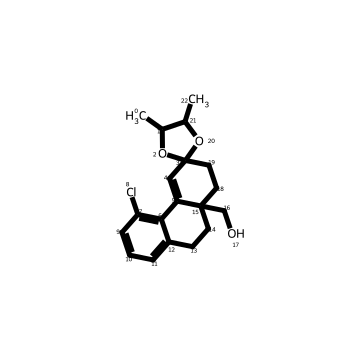 CC1OC2(C=C3c4c(Cl)cccc4CCC3(CO)CC2)OC1C